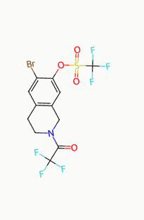 O=C(N1CCc2cc(Br)c(OS(=O)(=O)C(F)(F)F)cc2C1)C(F)(F)F